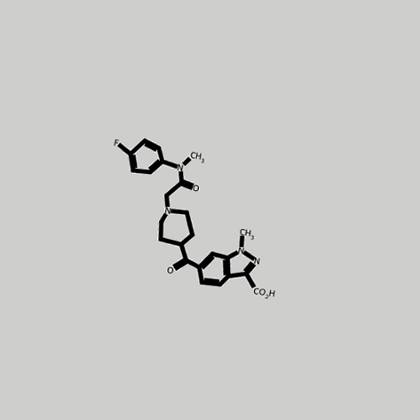 CN(C(=O)CN1CCC(C(=O)c2ccc3c(C(=O)O)nn(C)c3c2)CC1)c1ccc(F)cc1